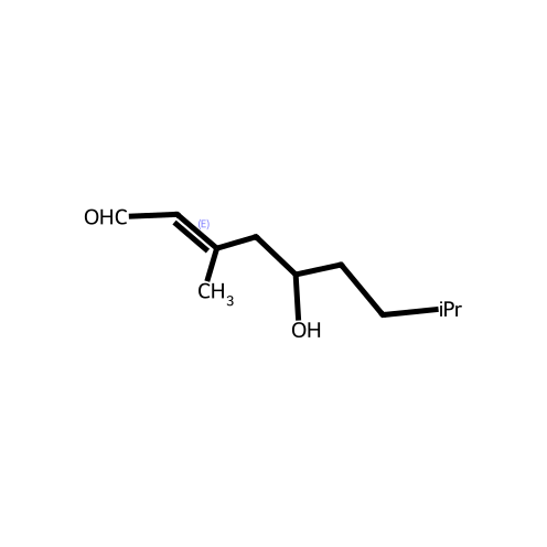 C/C(=C\C=O)CC(O)CCC(C)C